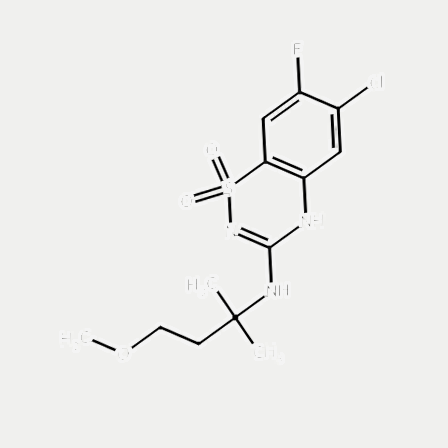 COCCC(C)(C)NC1=NS(=O)(=O)c2cc(F)c(Cl)cc2N1